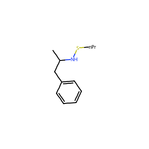 CCCSNC(C)Cc1ccccc1